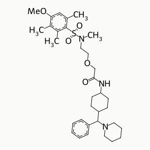 COc1cc(C)c(S(=O)(=O)N(C)CCOCC(=O)NC2CCC(C(c3ccccc3)N3CCCCC3)CC2)c(C)c1C